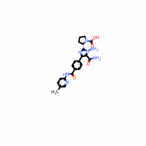 Cc1ccc(NC(=O)c2ccc(-c3nc([C@@H]4CCCN4C(=O)O)n(N)c3C(N)=O)cc2)nc1